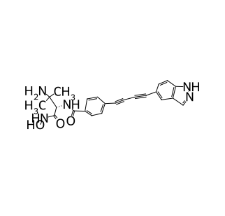 CC(C)(N)[C@H](NC(=O)c1ccc(C#CC#Cc2ccc3[nH]ncc3c2)cc1)C(=O)NO